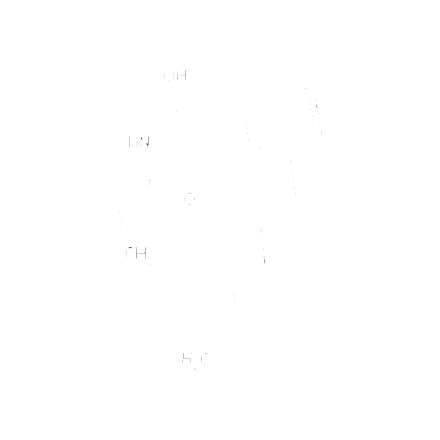 C=CC(=O)NCO.C=CC=CC=Cc1ccccc1